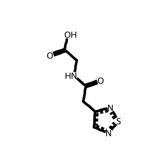 O=C(O)CNC(=O)Cc1cnsn1